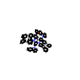 c1ccc(-c2ccc3c(c2)B2c4cc(-n5c6ccccc6c6ccccc65)ccc4N(c4cccc([Si](c5ccccc5)(c5ccccc5)c5ccccc5)c4)c4cc(-n5c6ccccc6c6ccccc65)cc(c42)N3c2cccc([Si](c3ccccc3)(c3ccccc3)c3ccccc3)c2)cc1